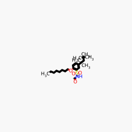 CCCCCCCCOc1ccc(C(C)(C)CC(C)(C)C)cc1S(=O)(=O)N[C]=O